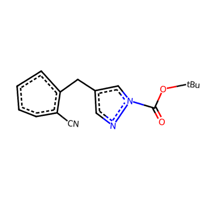 CC(C)(C)OC(=O)n1cc(Cc2ccccc2C#N)cn1